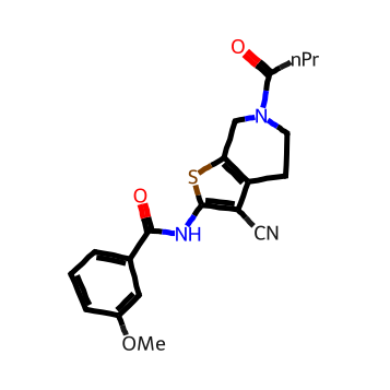 CCCC(=O)N1CCc2c(sc(NC(=O)c3cccc(OC)c3)c2C#N)C1